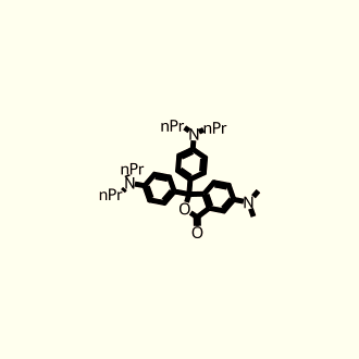 CCCN(CCC)c1ccc(C2(c3ccc(N(CCC)CCC)cc3)OC(=O)c3cc(N(C)C)ccc32)cc1